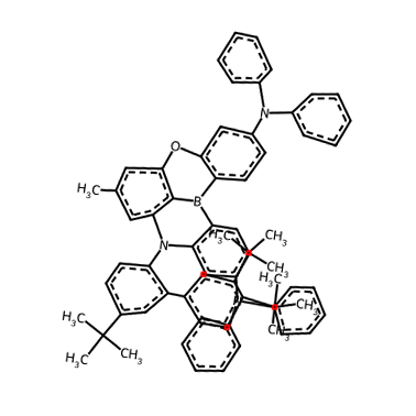 Cc1cc2c3c(c1)N(c1ccc(C(C)(C)C)cc1-c1ccc(C(C)(C)C)c(C(C)(C)C)c1)c1cc(N(c4ccccc4)c4ccccc4)ccc1B3c1ccc(N(c3ccccc3)c3ccccc3)cc1O2